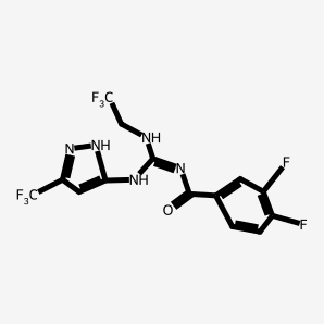 O=C(/N=C(/NCC(F)(F)F)Nc1cc(C(F)(F)F)n[nH]1)c1ccc(F)c(F)c1